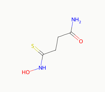 NC(=O)CCC(=S)NO